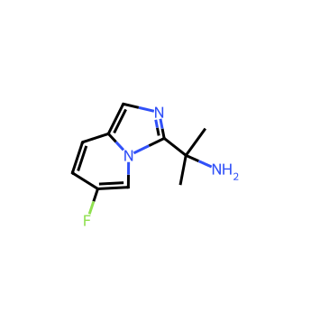 CC(C)(N)c1ncc2ccc(F)cn12